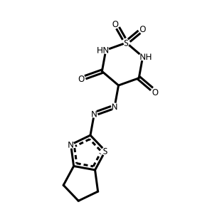 O=C1NS(=O)(=O)NC(=O)C1N=Nc1nc2c(s1)CCC2